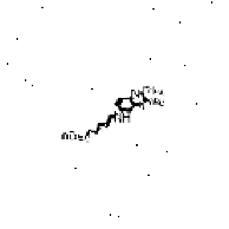 CCCCCCCCCCCCCCCNc1ccc2nc(CCCCCC)c(CCCC)nc2c1